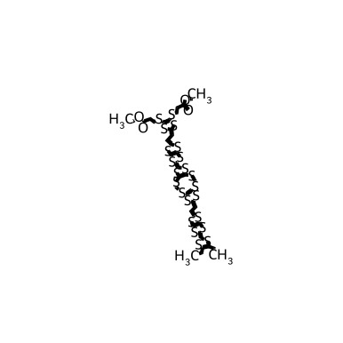 CCOC(=O)CCSC1=C(SCCC(=O)OCC)SC(=CC=C2SC3=C(S2)SC(=C2SC4=C(SCSC5=C(SCS4)SC(=CC=C4SC6=C(S4)SC(=C4SC(CC)=C(CC)S4)S6)S5)S2)S3)S1